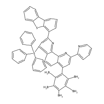 Bc1c(B)c(B)c(-c2cc(-c3ccccn3)nc3c2ccc2c(S(c4ccccc4)(c4ccccc4)c4ccccc4)cc(-c4cccc5c4sc4ccccc45)nc23)c(B)c1B